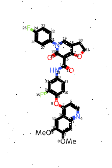 COc1cc2nccc(Oc3ccc(NC(=O)c4c5c(cn(-c6ccc(F)cc6)c4=O)CCO5)cc3F)c2cc1OC